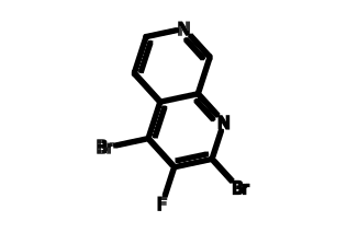 Fc1c(Br)nc2cnccc2c1Br